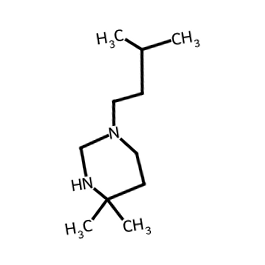 CC(C)CCN1CCC(C)(C)NC1